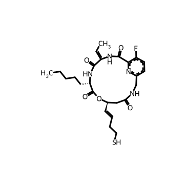 C/C=C1\NC(=O)c2nc(ccc2F)CNC(=O)C[C@@H](/C=C/CCS)OC(=O)[C@H](CCCCC)NC1=O